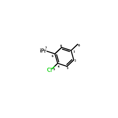 Cc1ccc(Cl)c(C(C)C)c1